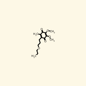 [CH2]CCOCCCC1=C(C)C(=O)C(OC)=C(OC)C1=O